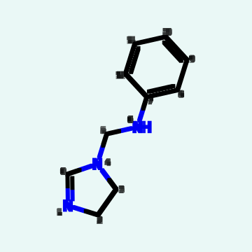 C1=NCCN1CNc1ccccc1